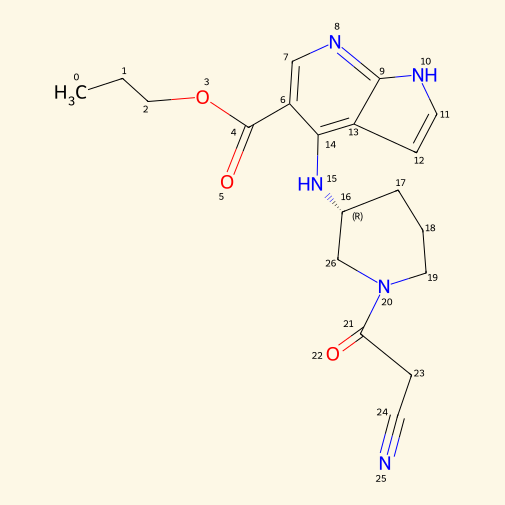 CCCOC(=O)c1cnc2[nH]ccc2c1N[C@@H]1CCCN(C(=O)CC#N)C1